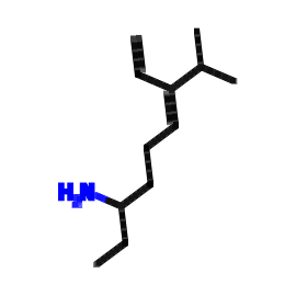 C=C/C(=C\CCC(N)CC)C(C)C